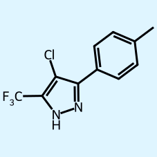 Cc1ccc(-c2n[nH]c(C(F)(F)F)c2Cl)cc1